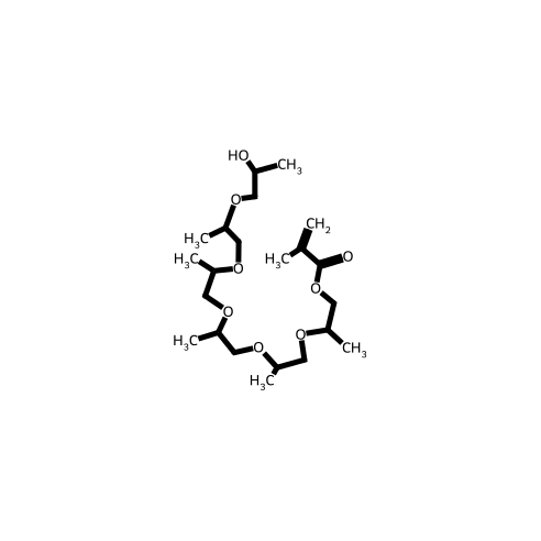 C=C(C)C(=O)OCC(C)OCC(C)OCC(C)OCC(C)OCC(C)OCC(C)O